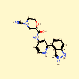 N#CN1CCO[C@@H](C(=O)Nc2ccnc(-c3cccc4[nH]ncc34)c2)C1